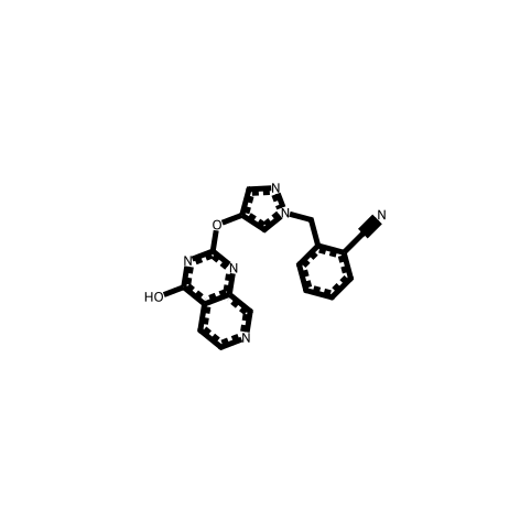 N#Cc1ccccc1Cn1cc(Oc2nc(O)c3ccncc3n2)cn1